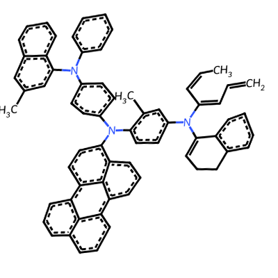 C=C/C=C(\C=C/C)N(C1=CCCc2ccccc21)c1ccc(N(c2ccc(N(c3ccccc3)c3cc(C)cc4ccccc34)cc2)c2ccc3c4cccc5cccc(c6cccc2c63)c54)c(C)c1